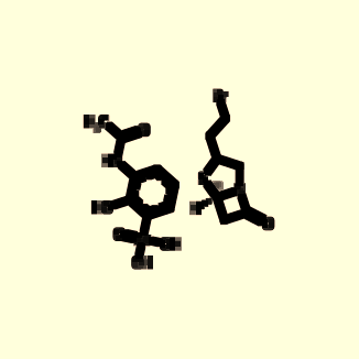 CC(=O)Nc1cccc([As](=O)(O)O)c1O.O=C1C[C@H]2SC(CCBr)CN12